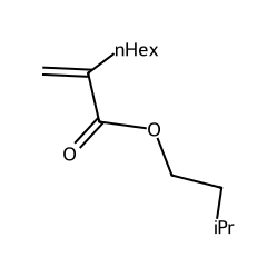 C=C(CCCCCC)C(=O)OCCC(C)C